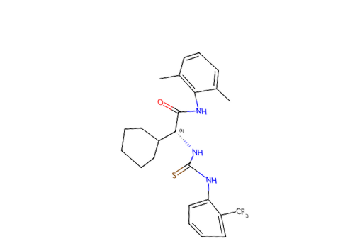 Cc1cccc(C)c1NC(=O)[C@H](NC(=S)Nc1ccccc1C(F)(F)F)C1CCCCC1